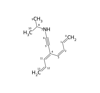 C=C/C=C\C(C#CNC(C)C)=C/C=C